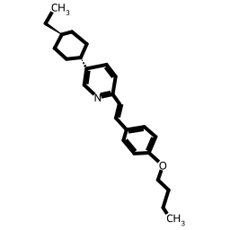 CCCCOc1ccc(C=Cc2ccc([C@H]3CC[C@H](CC)CC3)cn2)cc1